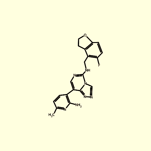 Cc1ccc(-c2cnc(NCc3c(F)ccc4c3CCO4)n3cnnc23)c(N)n1